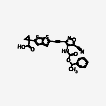 CC(OC(=O)Nc1c(C#Cc2cc3cc(C4(C(=O)O)CC4)sc3s2)noc1C#N)c1ccccc1